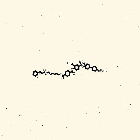 C#Cc1cc(C(=O)OC2(C#C)CCC(C3CCC(CCCCC)CC3)CC2)ccc1OC(=O)C1CCC(C(=O)OCCCCCCOC(=O)/C=C/c2ccccc2)CC1